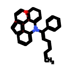 C=C/C=C\C=C(/c1ccccc1)N(C1=CCCC=C1C1=CCC=C1)C1=CC=CCC1C1=CC=COC1